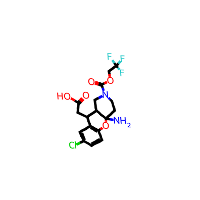 NC12CCN(C(=O)OCC(F)(F)F)CC1C(CC(=O)O)c1cc(Cl)ccc1O2